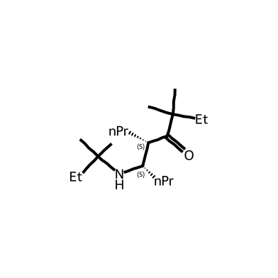 CCC[C@H](NC(C)(C)CC)[C@H](CCC)C(=O)C(C)(C)CC